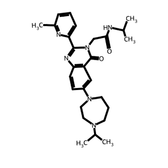 Cc1cccc(-c2nc3ccc(N4CCCN(C(C)C)CC4)cc3c(=O)n2CC(=O)NC(C)C)n1